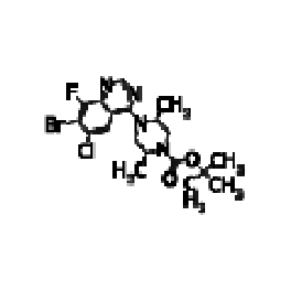 C[C@H]1CN(c2ncnc3c(F)c(Br)c(Cl)cc23)[C@@H](C)CN1C(=O)OC(C)(C)C